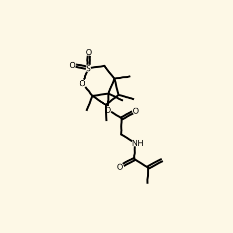 C=C(C)C(=O)NCC(=O)OC1(C)C2(C)CS(=O)(=O)OC1(C)C(C)C2C